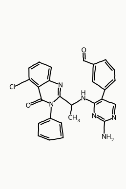 CC(Nc1nc(N)ncc1-c1cccc(C=O)c1)c1nc2cccc(Cl)c2c(=O)n1-c1ccccc1